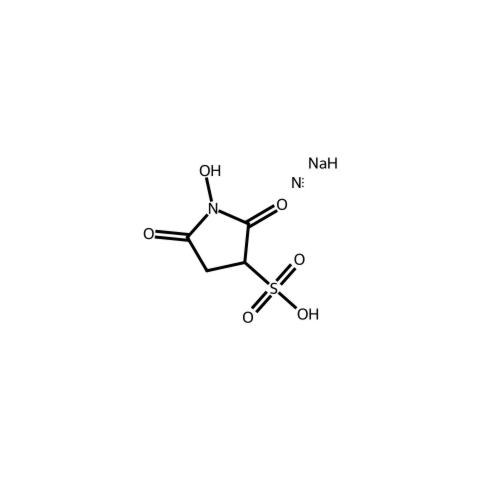 O=C1CC(S(=O)(=O)O)C(=O)N1O.[N].[NaH]